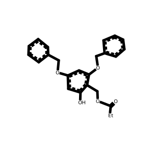 CCC(=O)OCc1c(O)cc(OCc2ccccc2)cc1OCc1ccccc1